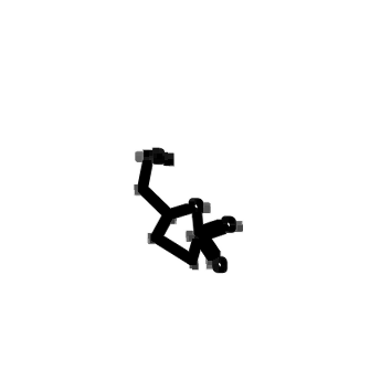 CCCCCC1CCS(=O)(=O)O1